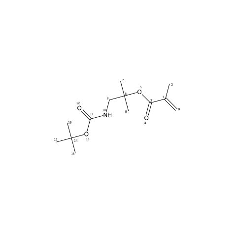 C=C(C)C(=O)OC(C)(C)CNC(=O)OC(C)(C)C